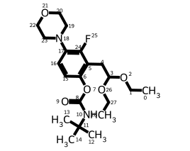 CCOC(Cc1c(OC(=O)NC(C)(C)C)ccc(N2CCOCC2)c1F)OCC